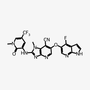 Cn1cc(C(F)(F)F)cc(Nc2nc3ncc(Oc4cnc5[nH]ccc5c4F)c(C#N)c3n2C)c1=O